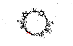 CN1CCOc2ccc(nc2)C(=O)NCc2cccc(c2)C(=O)N[C@@H](CC(C)(C)C)C(=O)Nc2ccc(cc2)CCN(C)C(=O)CC(C)(C)CC1=O